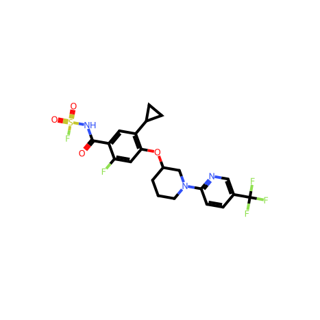 O=C(NS(=O)(=O)F)c1cc(C2CC2)c(OC2CCCN(c3ccc(C(F)(F)F)cn3)C2)cc1F